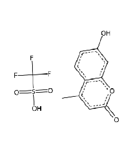 Cc1cc(=O)oc2cc(O)ccc12.O=S(=O)(O)C(F)(F)F